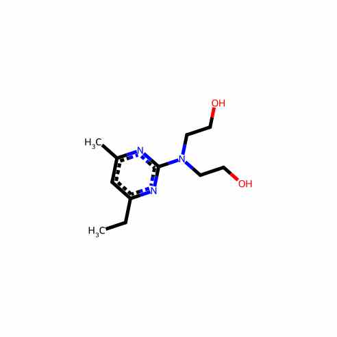 CCc1cc(C)nc(N(CCO)CCO)n1